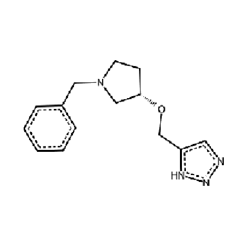 c1ccc(CN2CC[C@H](OCc3cnn[nH]3)C2)cc1